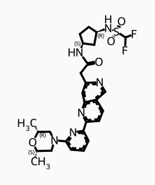 C[C@@H]1CN(c2cccc(-c3ccc4cnc(CC(=O)N[C@H]5CC[C@@H](NS(=O)(=O)C(F)F)C5)cc4n3)n2)C[C@H](C)O1